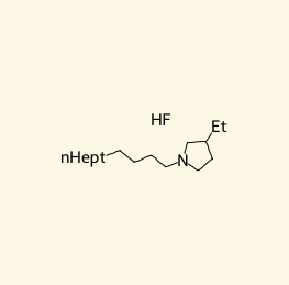 CCCCCCCCCCCN1CCC(CC)C1.F